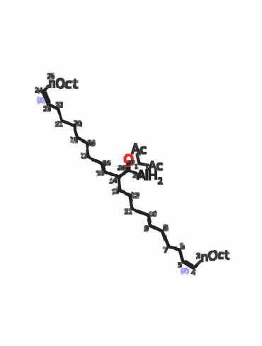 CC(=O)CC(C)=O.CCCCCCCC/C=C\CCCCCCCCC(CCCCCCCC/C=C\CCCCCCCC)[C](=O)[AlH2]